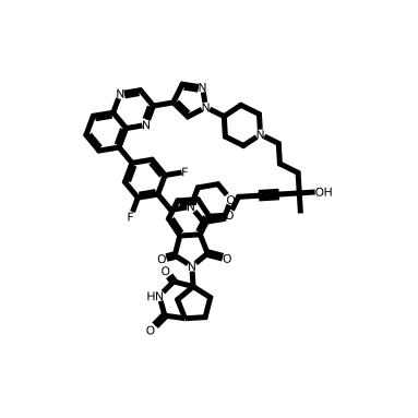 CC(O)(C#CCOc1cccc2c1C(=O)N(C13CCC(C1)C(=O)NC3=O)C2=O)CCCN1CCC(n2cc(-c3cnc4cccc(-c5cc(F)c(CN6CCOCC6)c(F)c5)c4n3)cn2)CC1